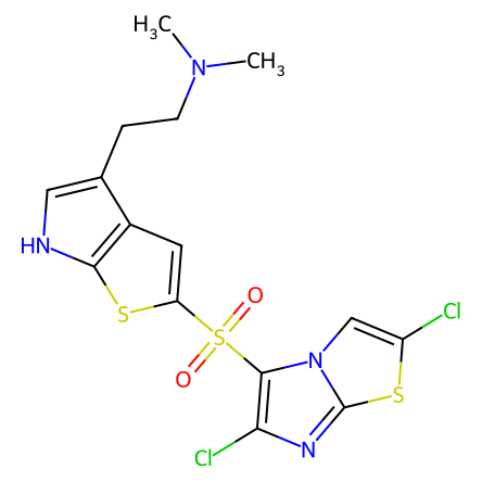 CN(C)CCc1c[nH]c2sc(S(=O)(=O)c3c(Cl)nc4sc(Cl)cn34)cc12